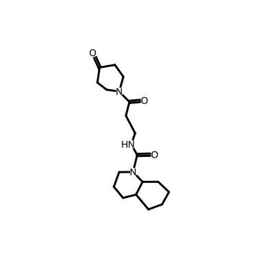 O=C1CCN(C(=O)CCNC(=O)N2CCCC3CCCCC32)CC1